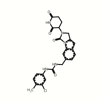 Cc1ccc(NC(=O)NCc2ccc3cc4n(c3c2)C(=O)N(C2CCC(=O)NC2=O)C4)cc1Cl